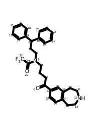 O=C(CCCN(CCC(c1ccccc1)c1ccccc1)C(=O)C(F)(F)F)c1ccc2c(c1)CCNCC2